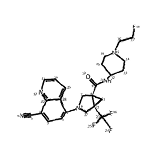 N#Cc1ccc(N2C[C@]3(C(=O)NC4CCN(CCF)CC4)C[C@]3(C(F)(F)F)C2)c2cccnc12